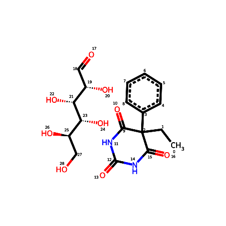 CCC1(c2ccccc2)C(=O)NC(=O)NC1=O.O=C[C@H](O)[C@@H](O)[C@H](O)[C@H](O)CO